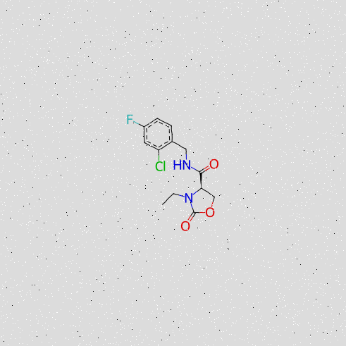 CCN1C(=O)OC[C@@H]1C(=O)NCc1ccc(F)cc1Cl